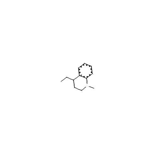 CCC1CCN(C)c2ccccc21